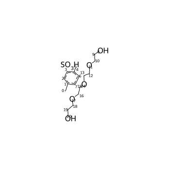 Cc1ccc(S(=O)(=O)O)cc1.OCCOCCOCCOCCO